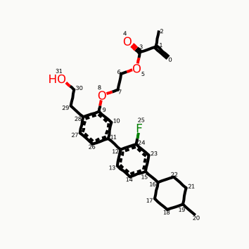 C=C(C)C(=O)OCCOc1cc(-c2ccc(C3CCC(C)CC3)cc2F)ccc1CCO